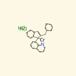 Cl.Cl.[Cr][C]1(c2cccc3cccnc23)C(Cc2ccccc2)=Cc2ccccc21